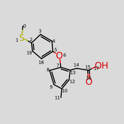 CSc1ccc(Oc2ccc(C)cc2CC(=O)O)cc1